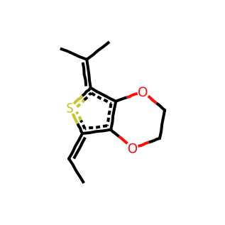 C/C=c1/sc(=C(C)C)c2c1OCCO2